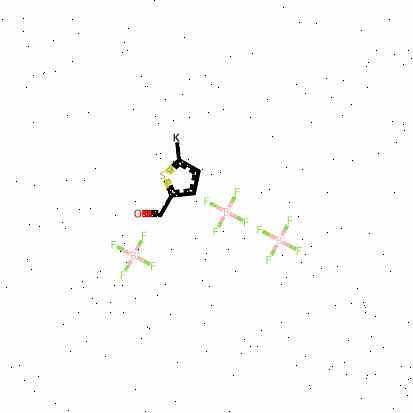 F[B-](F)(F)F.F[B-](F)(F)F.F[B-](F)(F)F.O=Cc1cc[c]([K])s1